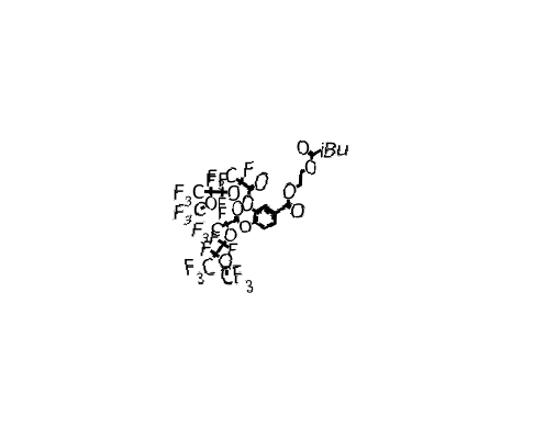 CCC(C)C(=O)OCCOC(=O)c1ccc(OC(=O)C(F)(OC(F)(F)C(F)(OC(F)(F)F)C(F)(F)F)C(F)(F)F)c(OC(=O)C(F)(OC(F)(F)C(F)(OC(F)(F)F)C(F)(F)F)C(F)(F)F)c1